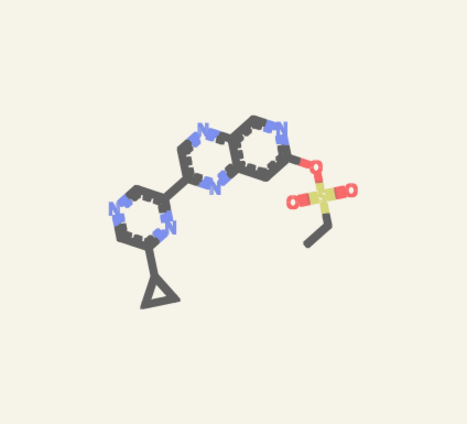 CCS(=O)(=O)Oc1cc2nc(-c3cncc(C4CC4)n3)cnc2cn1